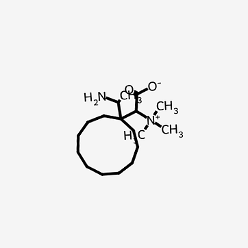 CC(N)C1(C(C(=O)[O-])[N+](C)(C)C)CCCCCCCCCC1